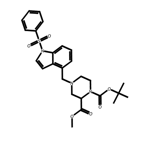 COC(=O)C1CN(Cc2cccc3c2ccn3S(=O)(=O)c2ccccc2)CCN1C(=O)OC(C)(C)C